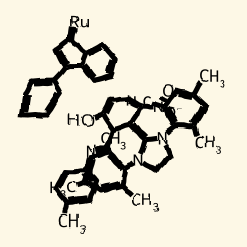 Cc1ccc(N=CC2C(O)=CC=C([N+](=O)[O-])C2=C2N(c3c(C)cc(C)cc3C)CCN2c2c(C)cc(C)cc2C)cc1.[Ru]=[C]1C=C(c2ccccc2)c2ccccc21